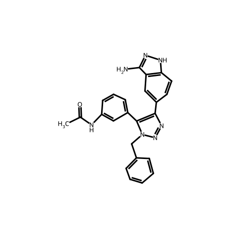 CC(=O)Nc1cccc(-c2c(-c3ccc4[nH]nc(N)c4c3)nnn2Cc2ccccc2)c1